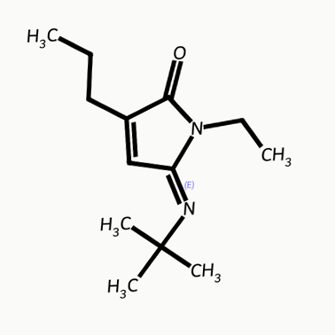 CCCC1=C/C(=N\C(C)(C)C)N(CC)C1=O